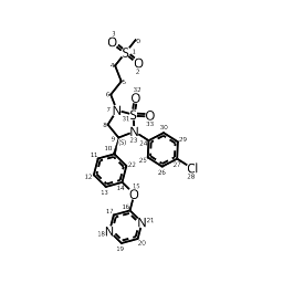 CS(=O)(=O)CCCN1C[C@H](c2cccc(Oc3cnccn3)c2)N(c2ccc(Cl)cc2)S1(=O)=O